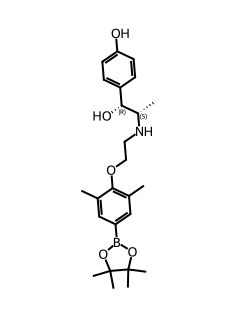 Cc1cc(B2OC(C)(C)C(C)(C)O2)cc(C)c1OCCN[C@@H](C)[C@H](O)c1ccc(O)cc1